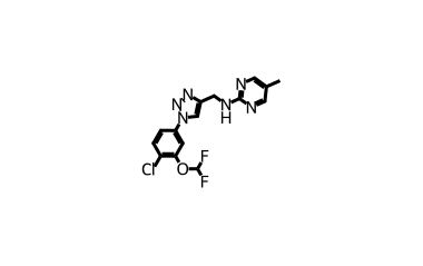 Cc1cnc(NCc2cn(-c3ccc(Cl)c(OC(F)F)c3)nn2)nc1